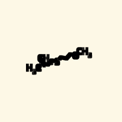 COCCCSCCN(C)C